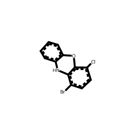 Clc1ccc(Br)c2c1Oc1ccccc1N2